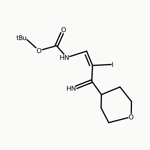 CC(C)(C)OC(=O)N/C=C(/I)C(=N)C1CCOCC1